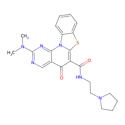 CN(C)c1ncc2c(=O)c(C(=O)NCCN3CCCC3)c3sc4ccccc4n3c2n1